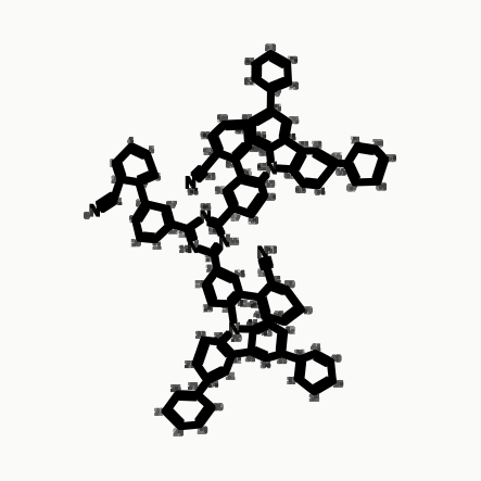 N#Cc1ccccc1-c1cccc(-c2nc(-c3ccc(-n4c5ccc(-c6ccccc6)cc5c5cc(-c6ccccc6)ccc54)c(-c4ccccc4C#N)c3)nc(-c3ccc(-n4c5ccc(-c6ccccc6)cc5c5cc(-c6ccccc6)ccc54)c(-c4ccccc4C#N)c3)n2)c1